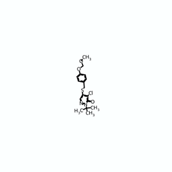 COCOc1ccc(CSc2cnn(C(C)(C)C)c(=O)c2Cl)cc1